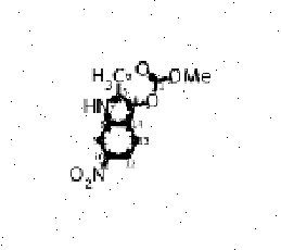 COC(=O)Oc1c(C)[nH]c2cc([N+](=O)[O-])ccc12